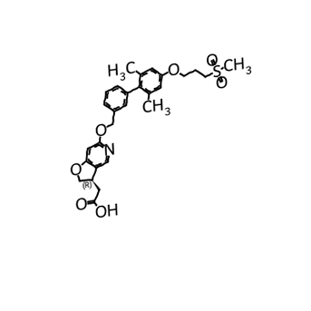 Cc1cc(OCCCS(C)(=O)=O)cc(C)c1-c1cccc(COc2cc3c(cn2)[C@@H](CC(=O)O)CO3)c1